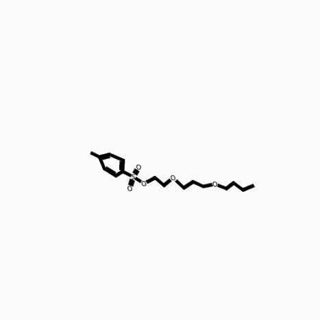 CCCCOCCCOCCOS(=O)(=O)c1ccc(C)cc1